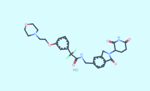 Cl.O=C1CCC(N2Cc3cc(CNC(=O)C(F)(F)c4cccc(OCCN5CCOCC5)c4)ccc3C2=O)C(=O)N1